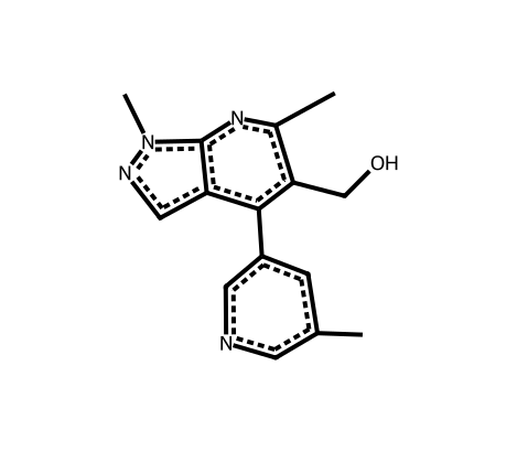 Cc1cncc(-c2c(CO)c(C)nc3c2cnn3C)c1